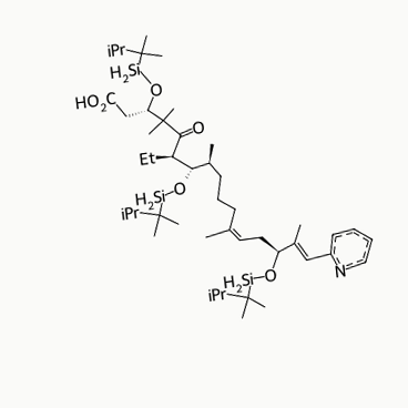 CC[C@@H](C(=O)C(C)(C)[C@H](CC(=O)O)O[SiH2]C(C)(C)C(C)C)[C@@H](O[SiH2]C(C)(C)C(C)C)[C@@H](C)CCC/C(C)=C\C[C@H](O[SiH2]C(C)(C)C(C)C)/C(C)=C/c1ccccn1